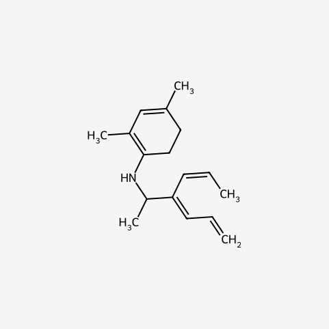 C=C/C=C(\C=C/C)C(C)NC1=C(C)C=C(C)CC1